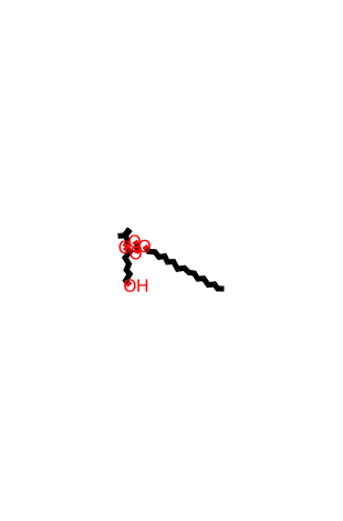 C=C(C)C(OCCCCCCO)OC(=O)OCCCCCCCCCCCCCCCC